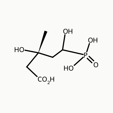 C[C@](O)(CC(=O)O)CC(O)P(=O)(O)O